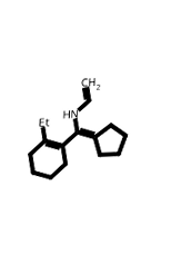 C=CNC(=C1CCCC1)C1=C(CC)CCCC1